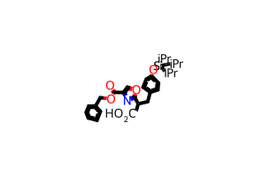 CC(C)[Si](Oc1ccc(CC(CC(=O)O)c2nc(C(=O)OCc3ccccc3)co2)cc1)(C(C)C)C(C)C